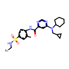 CC(=O)CNS(=O)(=O)c1ccc(NC(=O)c2cc(N(CC3CC3)C3CCCCC3)ncn2)c(C)c1